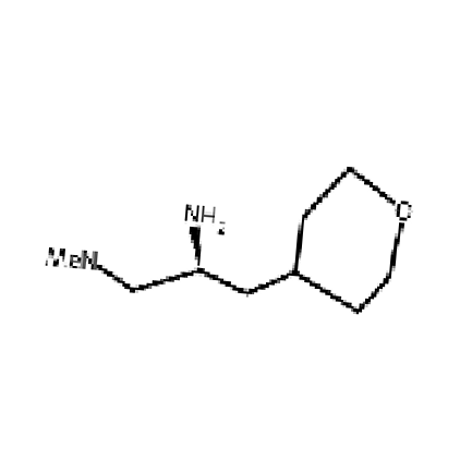 CNC[C@@H](N)CC1CCOCC1